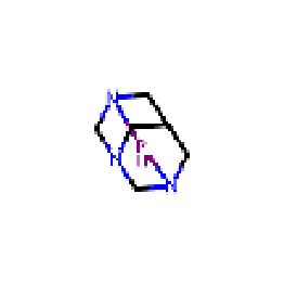 C1C2CN3CN1CN(C2)P3